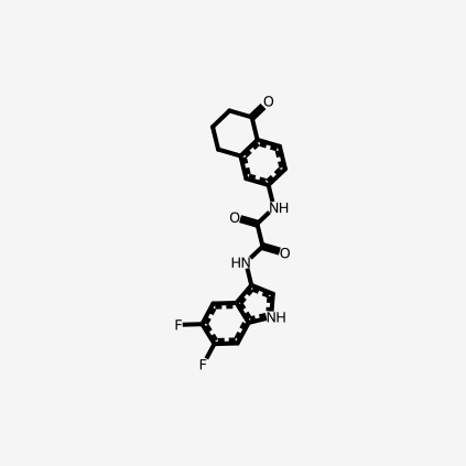 O=C(Nc1ccc2c(c1)CCCC2=O)C(=O)Nc1c[nH]c2cc(F)c(F)cc12